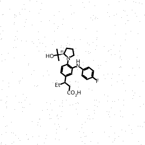 CCC(CC(=O)O)c1ccc(N2CCC[C@@H]2C(C)(C)O)c(Nc2ccc(F)cc2)c1